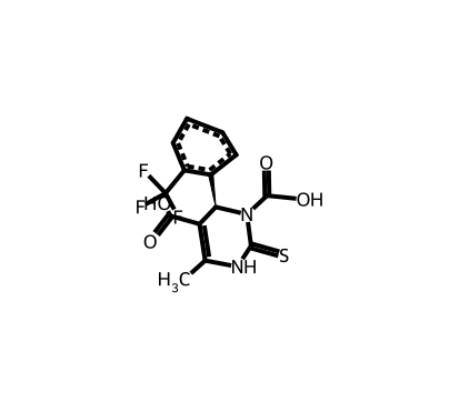 CC1=C(C(=O)O)[C@@H](c2ccccc2C(F)(F)F)N(C(=O)O)C(=S)N1